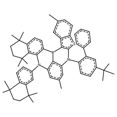 Cc1cc2c3c(c1)N(c1ccc4c(c1)C(C)(C)CCC4(C)C)c1c(ccc4c1C(C)(C)CCC4(C)C)B3c1c(sc3ccc(C)cc13)N2c1ccc(C(C)(C)C)cc1-c1ccccc1